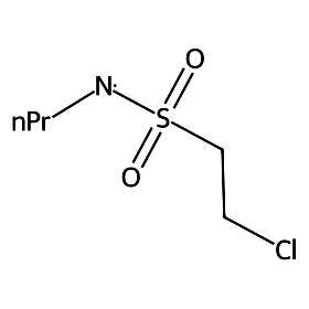 CCC[N]S(=O)(=O)CCCl